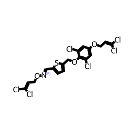 ClC(Cl)=CCO/N=C/c1ccc(COc2c(Cl)cc(OCC=C(Cl)Cl)cc2Cl)s1